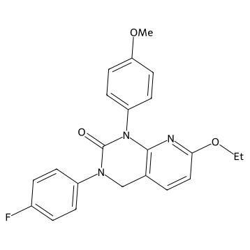 CCOc1ccc2c(n1)N(c1ccc(OC)cc1)C(=O)N(c1ccc(F)cc1)C2